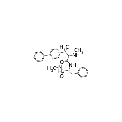 CNC(=O)C(Cc1ccccc1)NC(=O)C(NC)C(C)c1ccc(-c2ccccc2)cc1